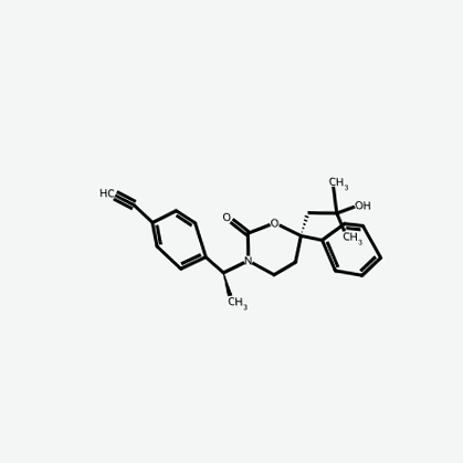 C#Cc1ccc([C@H](C)N2CC[C@](CC(C)(C)O)(c3ccccc3)OC2=O)cc1